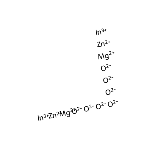 [In+3].[In+3].[Mg+2].[Mg+2].[O-2].[O-2].[O-2].[O-2].[O-2].[O-2].[O-2].[Zn+2].[Zn+2]